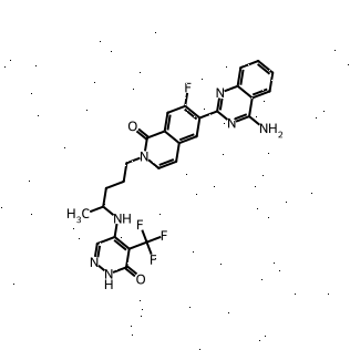 CC(CCCn1ccc2cc(-c3nc(N)c4ccccc4n3)c(F)cc2c1=O)Nc1cn[nH]c(=O)c1C(F)(F)F